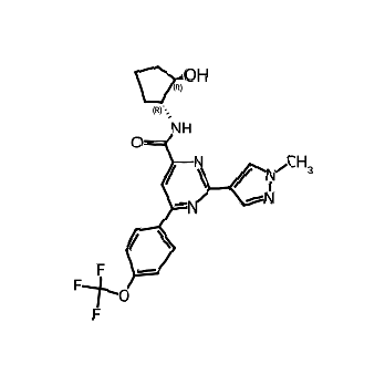 Cn1cc(-c2nc(C(=O)N[C@@H]3CCC[C@H]3O)cc(-c3ccc(OC(F)(F)F)cc3)n2)cn1